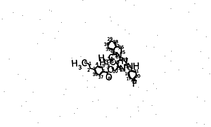 CCCc1ccc(C(=O)OCc2nc(Nc3ccc(F)cc3)nc(N3CCc4ccccc4C3C)c2C)cc1